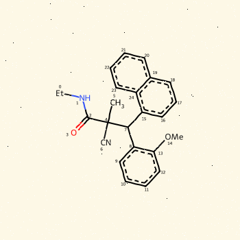 CCNC(=O)C(C)(C#N)C(c1ccccc1OC)c1cccc2ccccc12